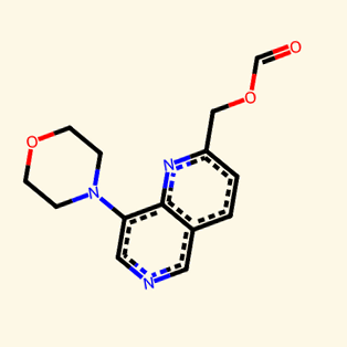 O=COCc1ccc2cncc(N3CCOCC3)c2n1